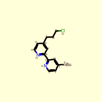 CCCCc1ccnc(-c2cc(CCCCl)ccn2)c1